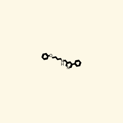 c1ccc(OCCCCNCc2cncc(-c3ccccc3)c2)cc1